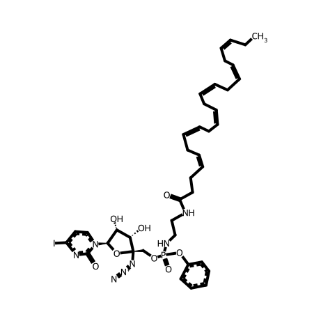 CC/C=C\C/C=C\C/C=C\C/C=C\C/C=C\C/C=C\CCC(=O)NCCNP(=O)(OC[C@@]1(N=[N+]=[N-])O[C@@H](n2ccc(I)nc2=O)[C@H](O)[C@@H]1O)Oc1ccccc1